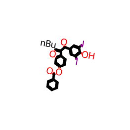 CCCCc1oc2cc(OC(=O)c3ccccc3)ccc2c1C(=O)c1cc(I)c(O)c(I)c1